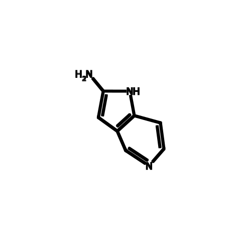 Nc1cc2cnccc2[nH]1